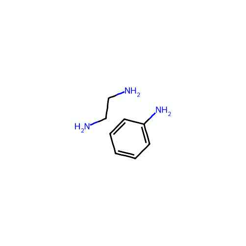 NCCN.Nc1ccccc1